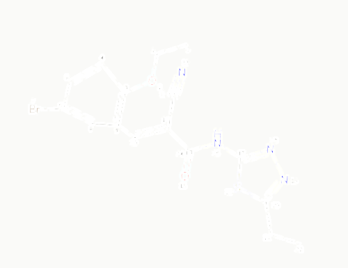 CCOc1ccc(Br)cc1C=C(C#N)C(=O)Nc1nnc(CC)s1